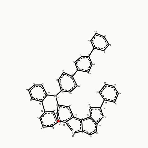 c1ccc(-c2ccc(-c3ccc(N(c4ccc5oc6ccc7oc(-c8ccccc8)nc7c6c5c4)c4ccccc4-c4ccccc4)cc3)cc2)cc1